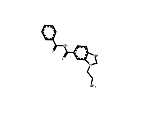 NCCN1CNc2ccc(C(=O)NC(=O)c3ccccc3)cc21